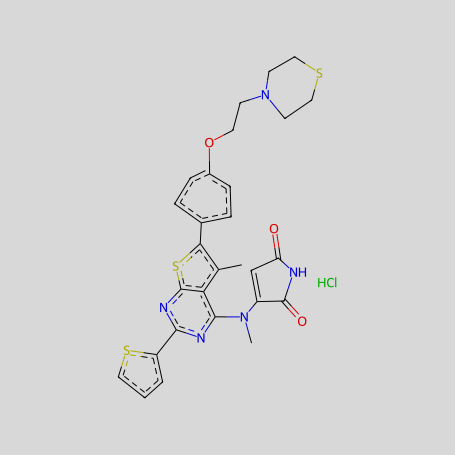 Cc1c(-c2ccc(OCCN3CCSCC3)cc2)sc2nc(-c3cccs3)nc(N(C)C3=CC(=O)NC3=O)c12.Cl